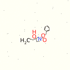 C=CCC1(O)CCN(C(=O)OCc2ccccc2)C1